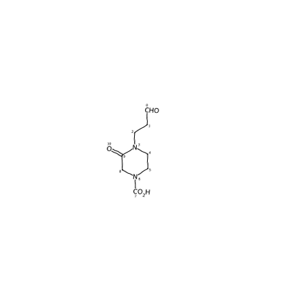 O=CCCN1CCN(C(=O)O)CC1=O